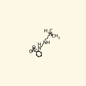 CN(C)CCCNCCNc1ccccc1[N+](=O)[O-]